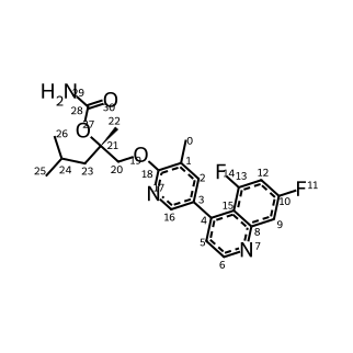 Cc1cc(-c2ccnc3cc(F)cc(F)c23)cnc1OC[C@](C)(CC(C)C)OC(N)=O